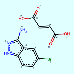 Nc1n[nH]c2ccc(Br)cc12.O=C(O)C=CC(=O)O